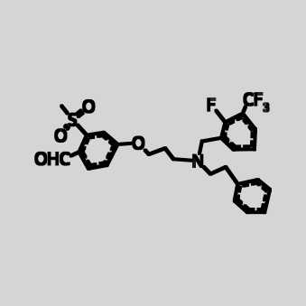 CS(=O)(=O)c1cc(OCCCN(CCc2ccccc2)Cc2cccc(C(F)(F)F)c2F)ccc1C=O